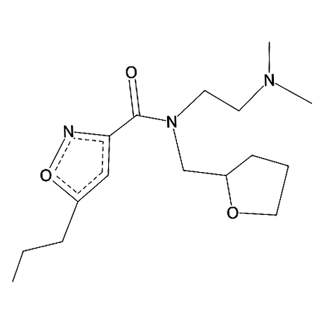 CCCc1cc(C(=O)N(CCN(C)C)CC2CCCO2)no1